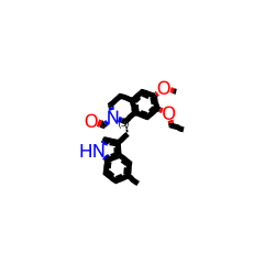 CCOc1cc2c(cc1OC)CCN(C=O)[C@H]2Cc1c[nH]c2ccc(C)cc12